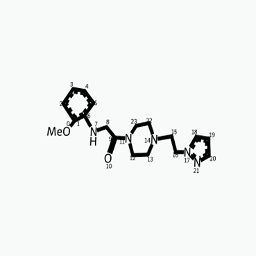 COc1ccccc1NCC(=O)N1CCN(CCn2cccn2)CC1